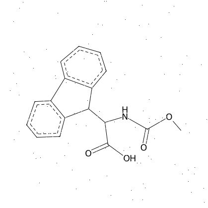 COC(=O)NC(C(=O)O)C1c2ccccc2-c2ccccc21